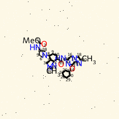 COC(=O)N[C@@H]1CCN(c2ccc(C(=O)Nc3cn4cc(C)nc4c(Oc4ccccc4)n3)c3nn(C)cc23)C1